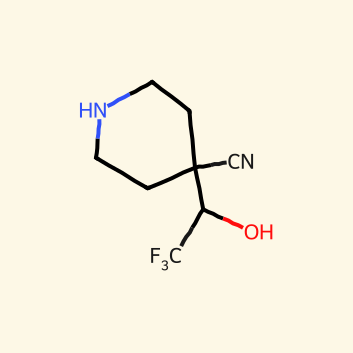 N#CC1(C(O)C(F)(F)F)CCNCC1